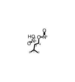 CC(C)CCON=O.O=NO